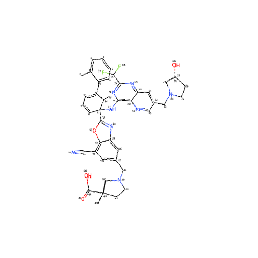 Cc1ccccc1C1=CC=CC(Nc2nc(C(F)F)nc3cc(CN4CC[C@@H](O)C4)cnc23)(c2nc3cc(CN4CCC(C)(C(=O)O)C4)cc(C#N)c3o2)C1C